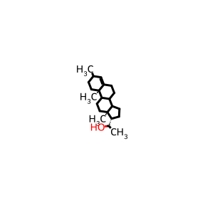 CC1C=C2CCC3C(CC[C@@]4(C)C3CC[C@@H]4C(C)O)[C@@]2(C)CC1